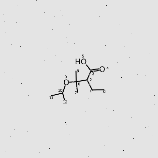 CCC(C(=O)O)C(C)(C)OC(C)C